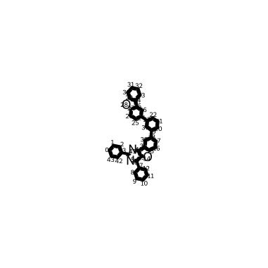 c1ccc(-c2nc(-c3ccccc3)c3oc4ccc(-c5cccc(-c6ccc7oc8ccccc8c7c6)c5)cc4c3n2)cc1